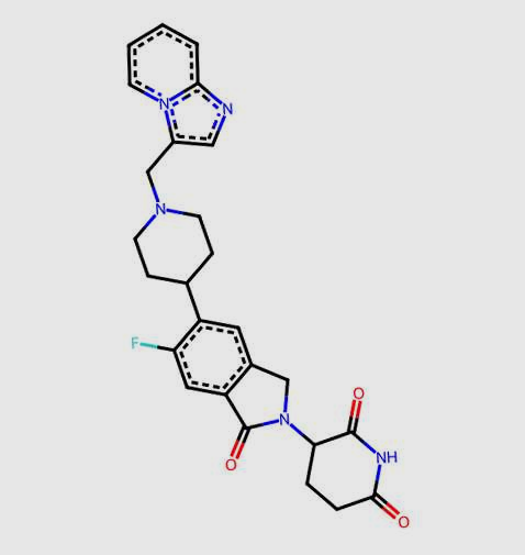 O=C1CCC(N2Cc3cc(C4CCN(Cc5cnc6ccccn56)CC4)c(F)cc3C2=O)C(=O)N1